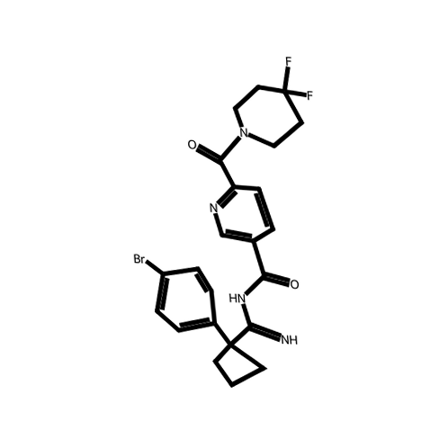 N=C(NC(=O)c1ccc(C(=O)N2CCC(F)(F)CC2)nc1)C1(c2ccc(Br)cc2)CCC1